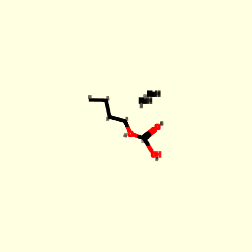 CCCCOC(=O)O.[NaH].[NaH]